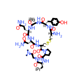 CC[C@H](C)C1NC(=O)[C@H](Cc2ccc(O)cc2)NC(=O)[C@@H](N)CSSC[C@@H](C(=O)N2CCCC2C(=O)N[C@@H](CC(C)C)C(=O)NCC(=O)N(C)C)NC(=O)[C@H](CC(N)=O)NC(=O)[C@H](CCC(N)=O)NC1=O